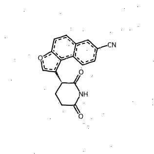 N#Cc1ccc2c(ccc3occ([C@@H]4CCC(=O)NC4=O)c32)c1